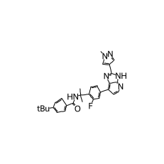 Cn1cc(-c2nc3c(-c4ccc(C(C)(C)NC(=O)c5ccc(C(C)(C)C)cc5)c(F)c4)ccnc3[nH]2)cn1